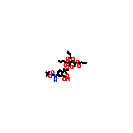 CCCC(=O)O[C@H]1[C@H](OC(=O)CCC)COC(OCC(C)(C)c2ccc(NC(=O)OC(C)(C)C)cc2C(=O)O)[C@@H]1OC(=O)CCC